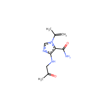 C=C(C)n1cnc(NCC(C)=O)c1C(N)=O